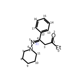 CCC(=O)C/C(=N\N1CCCCC1)c1ccccc1